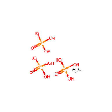 O=P(O)(O)O.O=P(O)(O)O.O=P(O)(O)O.[SeH2]